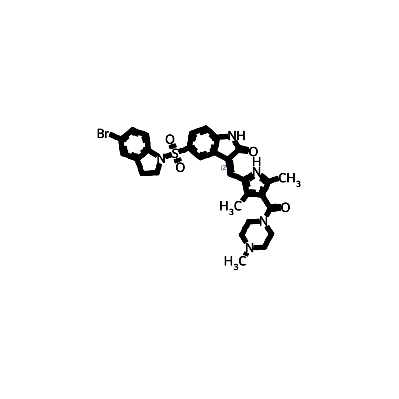 Cc1[nH]c(/C=C2\C(=O)Nc3ccc(S(=O)(=O)N4CCc5cc(Br)ccc54)cc32)c(C)c1C(=O)N1CCN(C)CC1